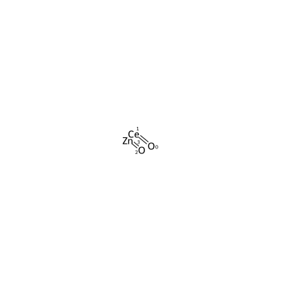 [O]=[Ce].[O]=[Zn]